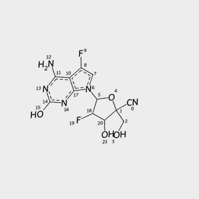 N#CC1(CO)OC(n2cc(F)c3c(N)nc(O)nc32)C(F)C1O